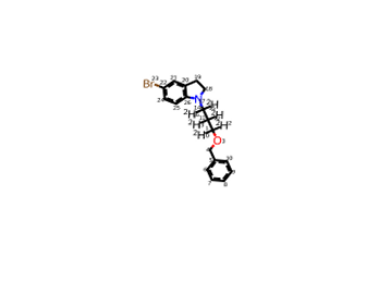 [2H]C([2H])(OCc1ccccc1)C([2H])([2H])C([2H])([2H])N1CCc2cc(Br)ccc21